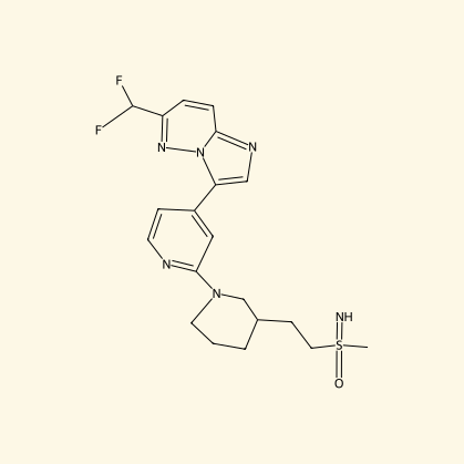 CS(=N)(=O)CCC1CCCN(c2cc(-c3cnc4ccc(C(F)F)nn34)ccn2)C1